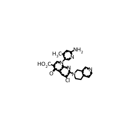 Cc1cc(N)ncc1-n1cc(C(=O)O)c(=O)c2cc(Cl)c(N3CCc4ccncc4C3)nc21